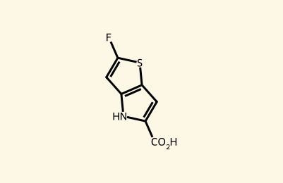 O=C(O)c1cc2sc(F)cc2[nH]1